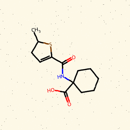 CC1CC=C(C(=O)NC2(C(=O)O)CCCCC2)S1